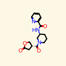 O=C1C[C@@H](C(=O)N2CCC[C@H](NC(=O)c3ccccn3)C2)CO1